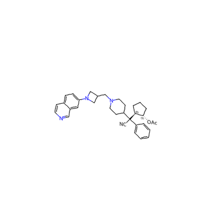 CC(=O)O[C@H]1CCC[C@@H]1C(C#N)(c1ccccc1)C1CCN(CC2CN(c3ccc4ccncc4c3)C2)CC1